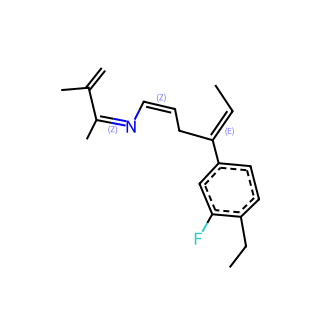 C=C(C)/C(C)=N\C=C/C/C(=C\C)c1ccc(CC)c(F)c1